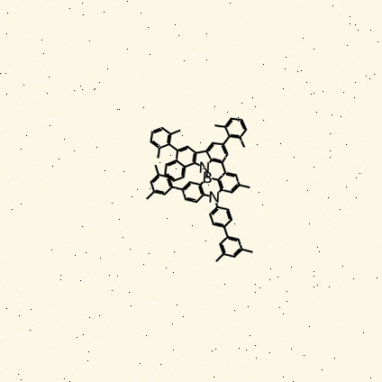 Cc1cc(C)cc(-c2ccc(N3c4ccc(-c5cc(C)cc(C)c5)cc4B4c5c(cc(C)cc53)-c3cc(-c5c(C)cccc5C)cc5c6cc(-c7c(C)cccc7C)c7ccccc7c6n4c35)cc2)c1